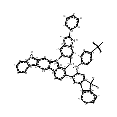 CC(C)(C)c1ccc(Nc2cc3c(cc2-c2ccc4c5cc6c(cc5n5c4c2Bc2cc4nc(-c7ccccc7)oc4cc2-5)oc2ccccc26)-c2ccccc2C3(C)C)cc1